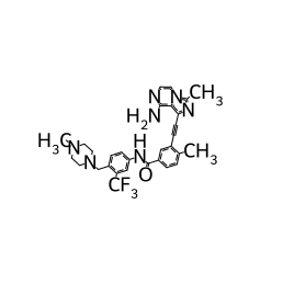 Cc1ccc(C(=O)Nc2ccc(CN3CCN(C)CC3)c(C(F)(F)F)c2)cc1C#Cc1nc(C)n2ccnc(N)c12